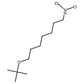 CC(C)(C)OCCCCCCC[SiH](Cl)Cl